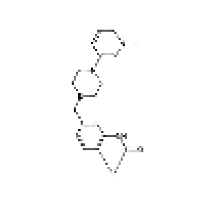 CN1C=C(N2CCN(Cc3ccc4c(c3)NC(=O)C3CC43)CC2)C=CC1